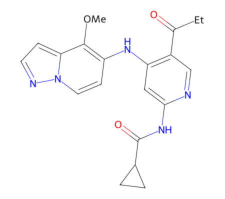 CCC(=O)c1cnc(NC(=O)C2CC2)cc1Nc1ccn2nccc2c1OC